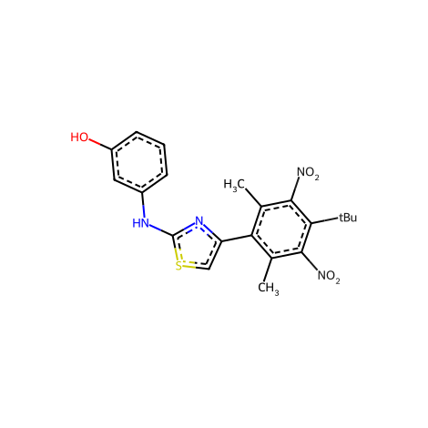 Cc1c(-c2csc(Nc3cccc(O)c3)n2)c(C)c([N+](=O)[O-])c(C(C)(C)C)c1[N+](=O)[O-]